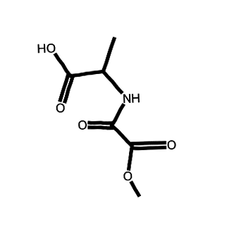 COC(=O)C(=O)NC(C)C(=O)O